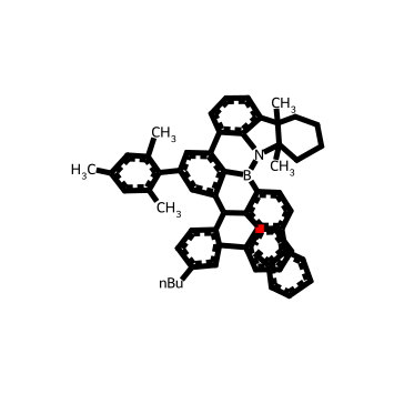 CCCCc1ccc(C2c3cc(-c4c(C)cc(C)cc4C)cc4c3B(c3ccc5c(oc6ccccc65)c32)N2c3c-4cccc3C3(C)CCCCC23C)c(-c2ccccc2)c1